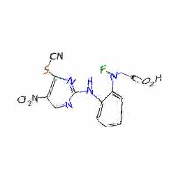 N#CSc1nc(Nc2ccccc2N(F)C(=O)O)ncc1[N+](=O)[O-]